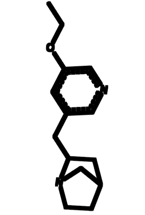 CCOc1cncc(CC2CC3CCN2C3)c1